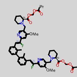 COc1cc(/C(F)=C/c2cccc(-c3cccc(/C=C(\F)c4cc(OC)c(CN5CCCC[C@H]5C(=O)OCOC(=O)C(C)C)cn4)c3C)c2C)ncc1CN1CCCC[C@H]1C(=O)OCOC(=O)C(C)C